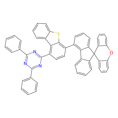 c1ccc(-c2nc(-c3ccccc3)nc(-c3ccc(-c4cccc5c4-c4ccccc4C54c5ccccc5Oc5ccccc54)c4sc5ccccc5c34)n2)cc1